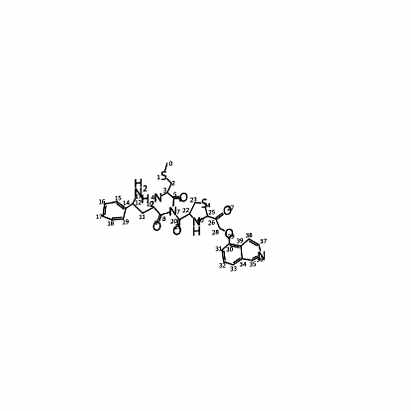 CSCC(N)C(=O)N(C(=O)CCC(N)c1ccccc1)C(=O)C1CSC(C(=O)COc2cccc3cnccc23)N1